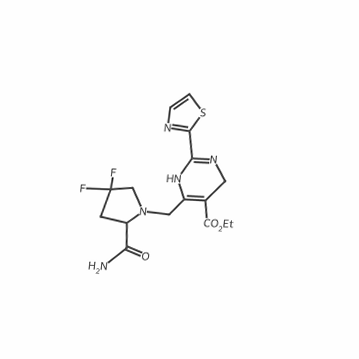 CCOC(=O)C1=C(CN2CC(F)(F)CC2C(N)=O)NC(c2nccs2)=NC1